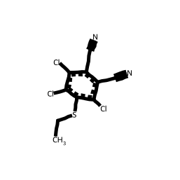 CCSc1c(Cl)c(Cl)c(C#N)c(C#N)c1Cl